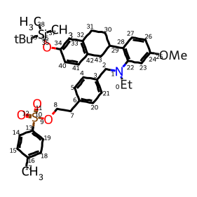 CCN(Cc1ccc(CCOS(=O)(=O)c2ccc(C)cc2)cc1)c1cc(OC)ccc1C1CCc2cc(O[Si](C)(C)C(C)(C)C)ccc2C1